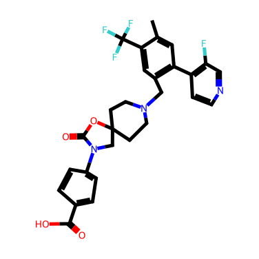 Cc1cc(-c2ccncc2F)c(CN2CCC3(CC2)CN(c2ccc(C(=O)O)cc2)C(=O)O3)cc1C(F)(F)F